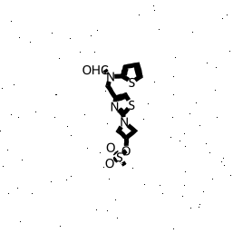 CS(=O)(=O)OC1CN(c2nc(CN(C=O)c3cccs3)cs2)C1